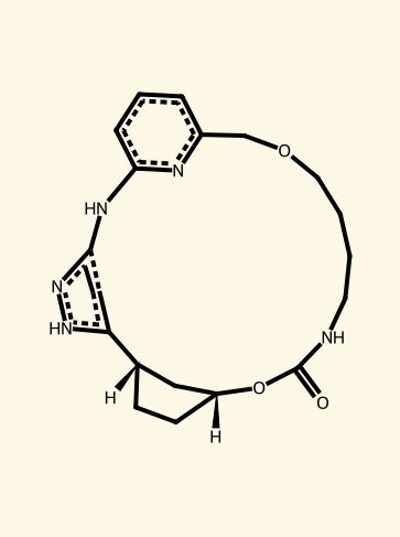 O=C1NCCCCOCc2cccc(n2)Nc2cc([nH]n2)[C@H]2CC[C@H](C2)O1